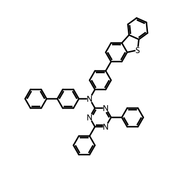 c1ccc(-c2ccc(N(c3ccc(-c4ccc5c(c4)sc4ccccc45)cc3)c3nc(-c4ccccc4)nc(-c4ccccc4)n3)cc2)cc1